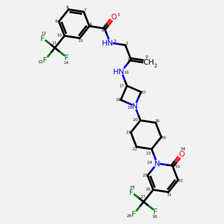 C=C(CNC(=O)c1cccc(C(F)(F)F)c1)NC1CN(C2CCC(n3cc(C(F)(F)F)ccc3=O)CC2)C1